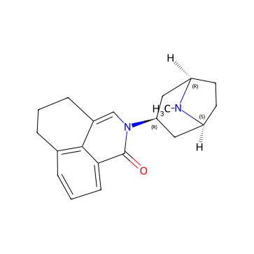 CN1[C@@H]2CC[C@H]1C[C@@H](n1cc3c4c(cccc4c1=O)CCC3)C2